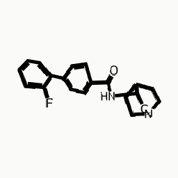 O=C(NC1CN2CCC1CC2)c1ccc(-c2ccccc2F)cc1